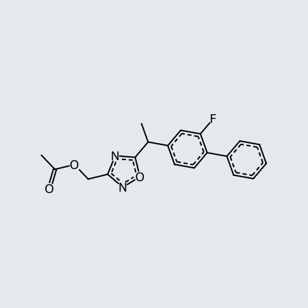 CC(=O)OCc1noc(C(C)c2ccc(-c3ccccc3)c(F)c2)n1